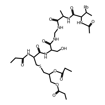 CCC(=O)NC(CSCC(COC(=O)CC)OC(=O)CC)C(=O)NC(CO)C(=O)NCNC(=O)C(C)NC(=O)C(NC(C)=O)[CH](C)[Rb]